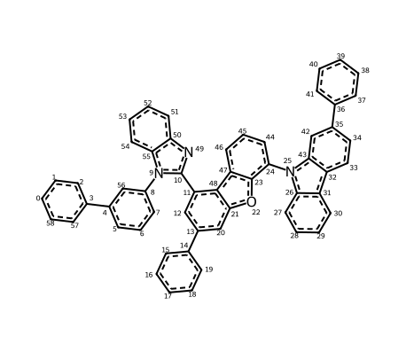 c1ccc(-c2cccc(-n3c(-c4cc(-c5ccccc5)cc5oc6c(-n7c8ccccc8c8ccc(-c9ccccc9)cc87)cccc6c45)nc4ccccc43)c2)cc1